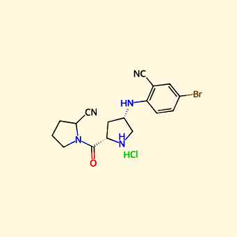 Cl.N#Cc1cc(Br)ccc1N[C@@H]1CN[C@H](C(=O)N2CCCC2C#N)C1